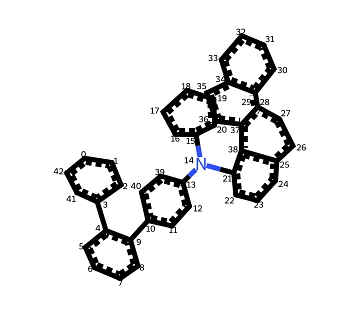 c1ccc(-c2ccccc2-c2ccc(N(c3ccccc3)c3cccc4ccc5c6ccccc6ccc5c34)cc2)cc1